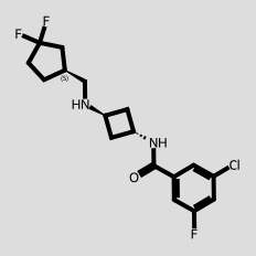 O=C(N[C@H]1C[C@H](NC[C@H]2CCC(F)(F)C2)C1)c1cc(F)cc(Cl)c1